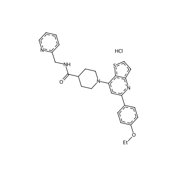 CCOc1ccc(-c2cc(N3CCC(C(=O)NCc4ccccn4)CC3)c3sccc3n2)cc1.Cl